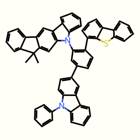 CC1(C)c2ccccc2-c2cc3c4ccccc4n(-c4cc(-c5ccc6c(c5)c5ccccc5n6-c5ccccc5)ccc4-c4cccc5c4sc4ccccc45)c3cc21